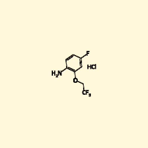 Cl.Nc1ccc(F)cc1OCC(F)(F)F